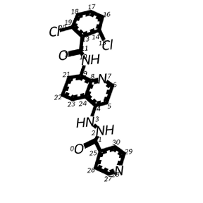 O=C(NNc1ccnc2c(NC(=O)c3c(Cl)cccc3Cl)cccc12)c1ccncc1